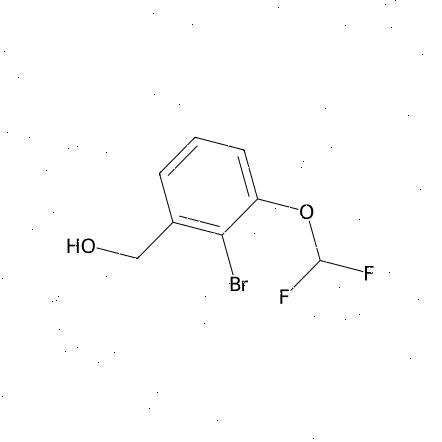 OCc1cccc(OC(F)F)c1Br